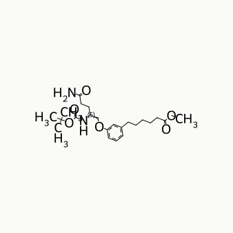 COC(=O)CCCCCc1cccc(OC[C@H](CCC(N)=O)NC(=O)OC(C)(C)C)c1